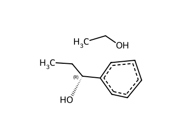 CCO.CC[C@@H](O)c1ccccc1